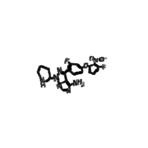 Nc1ncnc2c1c(-c1ccc(Oc3cccc(F)c3[N+](=O)[O-])cc1F)nn2C1CCCNC1